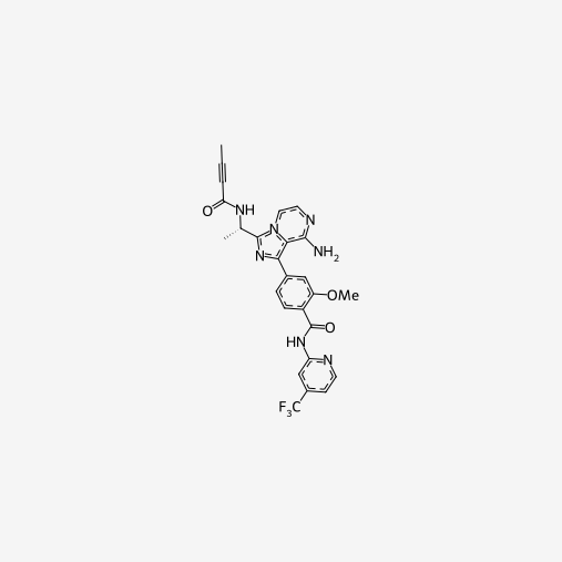 CC#CC(=O)N[C@@H](C)c1nc(-c2ccc(C(=O)Nc3cc(C(F)(F)F)ccn3)c(OC)c2)c2c(N)nccn12